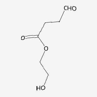 O=CCCC(=O)OCCO